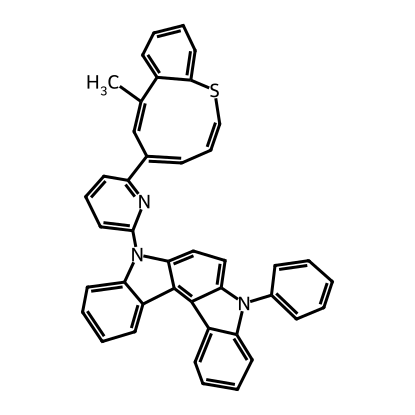 Cc1cc(-c2cccc(-n3c4ccccc4c4c5c6ccccc6n(-c6ccccc6)c5ccc43)n2)cccsc2ccccc12